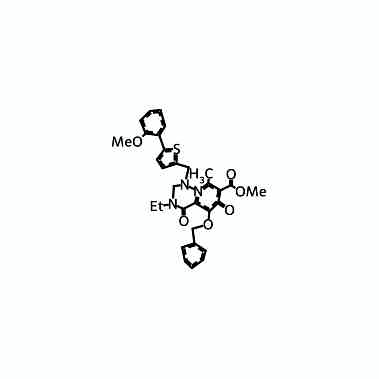 CCN1CN(Cc2ccc(-c3ccccc3OC)s2)n2c(C)c(C(=O)OC)c(=O)c(OCc3ccccc3)c2C1=O